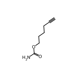 C#CCCCCOC(N)=O